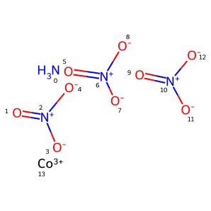 N.O=[N+]([O-])[O-].O=[N+]([O-])[O-].O=[N+]([O-])[O-].[Co+3]